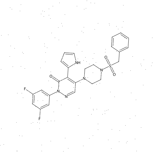 O=c1c(-c2ccc[nH]2)c(N2CCN(S(=O)(=O)Cc3ccccc3)CC2)cnn1-c1cc(F)cc(F)c1